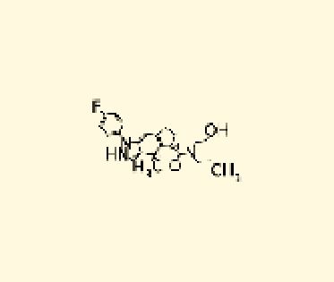 CCCN(CCO)C(=O)[C@H]1CCC2=C1[C@@H](C)C1=CNN(c3ccc(F)cc3)C1=C2